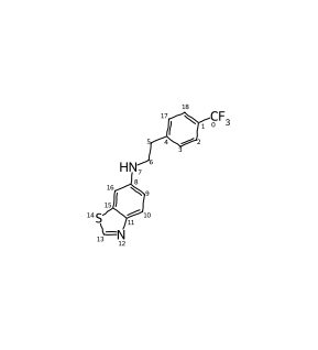 FC(F)(F)c1ccc(CCNc2ccc3ncsc3c2)cc1